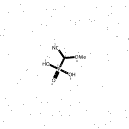 COC(C#N)P(=O)(O)O